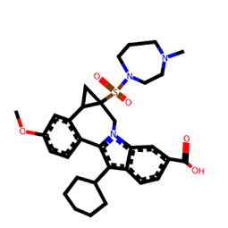 COc1ccc2c(c1)C1CC1(S(=O)(=O)N1CCCN(C)CC1)Cn1c-2c(C2CCCCC2)c2ccc(C(=O)O)cc21